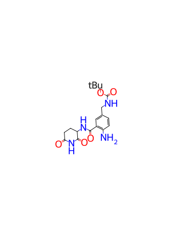 CC(C)(C)OC(=O)NCc1ccc(N)c(C(=O)NC2CCC(=O)NC2=O)c1